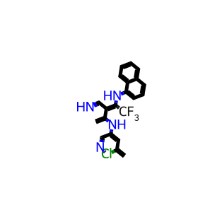 C=C(Cl)/C=C(\C=N/C)NC(=C)/C(C=N)=C(/Nc1cccc2ccccc12)C(F)(F)F